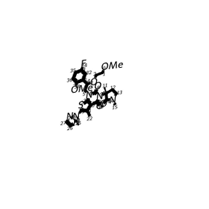 COCCOC(Cn1c(=O)n([C@]2(C)CCN(C)C2=O)c(=O)c2c(C)c(-n3nccn3)sc21)c1cc(F)ccc1OC